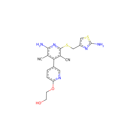 N#Cc1c(N)nc(SCc2csc(N)n2)c(C#N)c1-c1ccc(OCCO)nc1